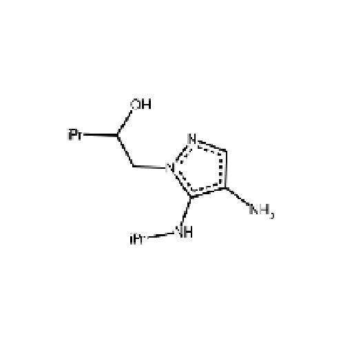 CC(C)Nc1c(N)cnn1CC(O)C(C)C